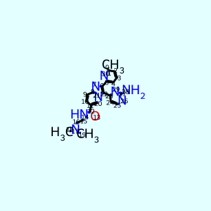 Cc1cccc(-c2nc3ccc(C(=O)NCCN(C)C)cn3c2-c2ccnc(N)n2)n1